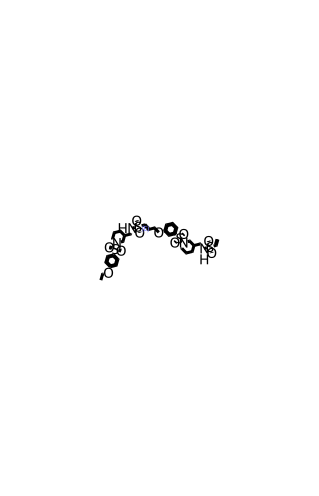 C=CS(=O)(=O)NCC1CCCN(S(=O)(=O)c2cccc(OC/C=C/S(=O)(=O)NCC3CCCN(S(=O)(=O)c4ccc(OCC)cc4)C3)c2)C1